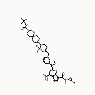 CNc1cc(N2CCc3c(CN4CC[C@H](N5CCC6(CCN(C(=O)OC(C)(C)C)CC6)CC5)C(F)(F)C4)cccc32)nn2c(C(=O)N[C@@H]3C[C@@H]3F)cnc12